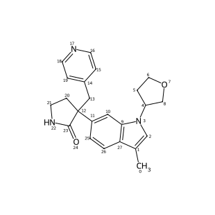 Cc1cn(C2CCOC2)c2cc(C3(Cc4ccncc4)CCNC3=O)ccc12